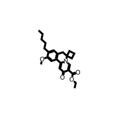 CCCCCc1cc2c(cc1OC)-c1cc(=O)c(C(=O)OCC)cn1C1(CCC1)C2